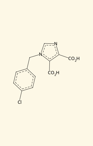 O=C(O)c1ncn(Cc2ccc(Cl)cc2)c1C(=O)O